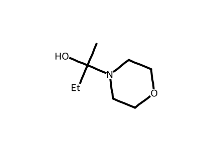 CCC(C)(O)N1CCOCC1